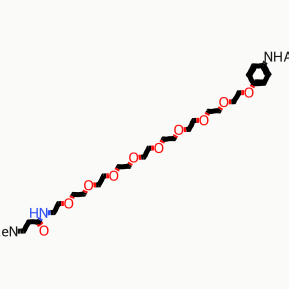 CNCCC(=O)NCCOCCOCCOCCOCCOCCOCCOCCOCCOc1ccc(NC(C)=O)cc1